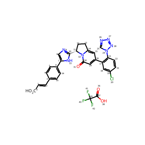 O=C(O)/C=C/c1ccc(-c2cnc([C@@H]3CCc4cc(-c5cc(Cl)ccc5-n5cnnn5)cc(=O)n43)[nH]2)cc1.O=C(O)C(F)(F)F